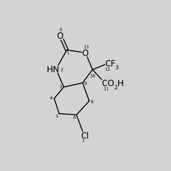 O=C1NC2CCC(Cl)CC2C(C(=O)O)(C(F)(F)F)O1